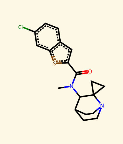 CN(C(=O)c1cc2ccc(Cl)cc2s1)C1C2CCN(CC2)C12CC2